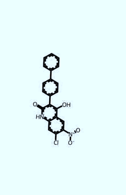 O=c1[nH]c2cc(Cl)c([N+](=O)[O-])cc2c(O)c1-c1ccc(-c2ccccc2)cc1